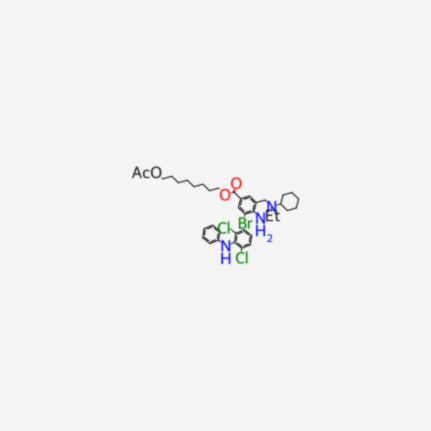 CCN(Cc1cc(C(=O)OCCCCCCCCOC(C)=O)cc(Br)c1N)C1CCCCC1.Clc1cccc(Cl)c1Nc1ccccc1